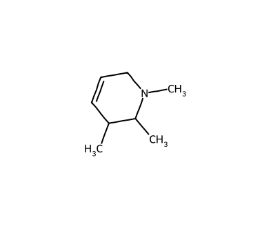 CC1C=CCN(C)C1C